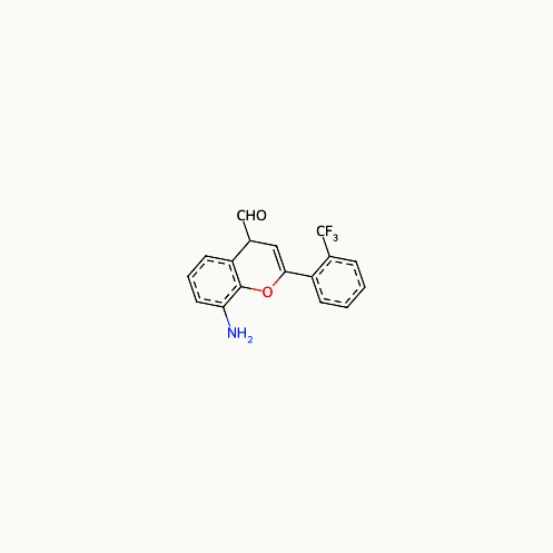 Nc1cccc2c1OC(c1ccccc1C(F)(F)F)=CC2C=O